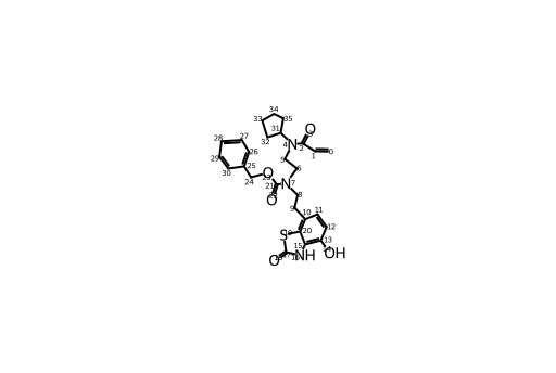 C=CC(=O)N(CCN(CCc1ccc(O)c2[nH]c(=O)sc12)C(=O)OCc1ccccc1)C1CCCC1